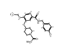 COC(=O)N1CCC(Oc2cc(C(=O)NCc3ccc(Cl)cc3)ncc2OCC(F)(F)F)CC1